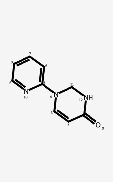 O=C1C=CN(c2ccccn2)CN1